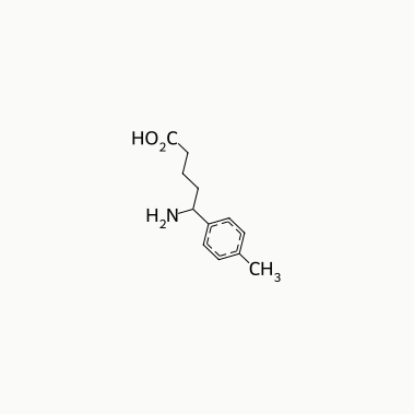 Cc1ccc(C(N)CCCC(=O)O)cc1